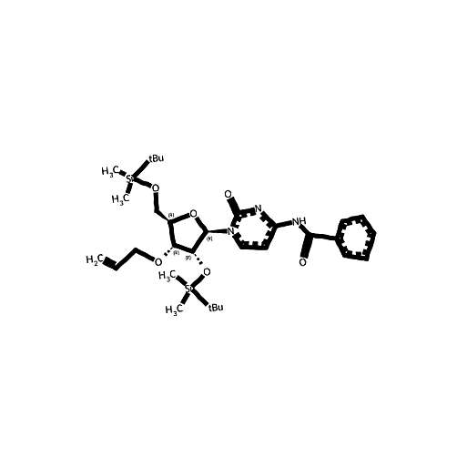 C=CCO[C@H]1[C@@H](O[Si](C)(C)C(C)(C)C)[C@H](n2ccc(NC(=O)c3ccccc3)nc2=O)O[C@@H]1CO[Si](C)(C)C(C)(C)C